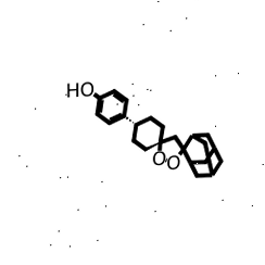 Oc1ccc([C@H]2CC[C@@]3(CC2)CC2(OO3)C3CC4CC(C3)CC2C4)cc1